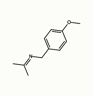 COc1ccc(CN=C(C)C)cc1